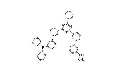 CPc1cccc(-c2cccc(-c3nc(-c4ccccc4)nc(-c4cccc(-c5cccc(P(c6ccccc6)c6ccccc6)c5)c4)n3)c2)c1